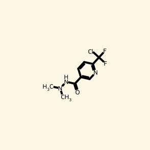 CN(C)NC(=O)c1ccc(C(F)(F)Cl)nc1